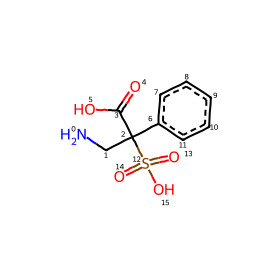 NCC(C(=O)O)(c1ccccc1)S(=O)(=O)O